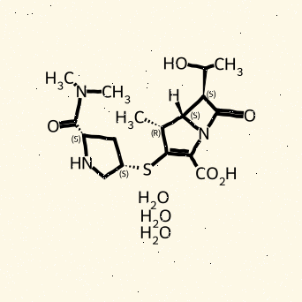 CC(O)[C@H]1C(=O)N2C(C(=O)O)=C(S[C@@H]3CN[C@H](C(=O)N(C)C)C3)[C@H](C)[C@H]12.O.O.O